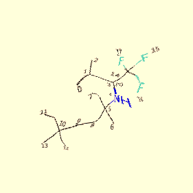 CC(C)[C@H](NC(C)(C)CCC(C)(C)C)C(F)(F)F